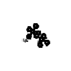 Cc1ccc(-c2c3c(c(-c4ccccc4)c4ccccc24)-c2cccc4c(-c5c6ccccc6c(-c6ccccc6)c6c5sc5ccccc56)ccc-3c24)cc1